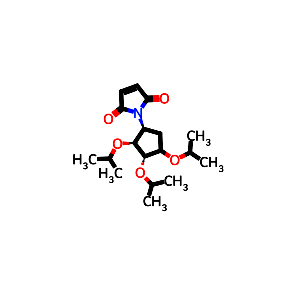 CC(C)OC1C[C@H](N2C(=O)C=CC2=O)[C@H](OC(C)C)[C@H]1OC(C)C